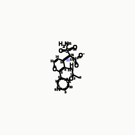 CC(=O)NC1=C(c2cnccn2)OC=C/C1=C(/[N+](=O)[O-])S(N)(=O)=O